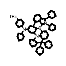 CC(C)(C)c1ccc(N(c2ccccc2)c2cc3c4c(c2)N2c5ccccc5C(c5ccccc5)(c5ccccc5)c5cccc(c52)B4c2c4c-3cccc4c(-c3ccccc3)n2-c2ccccc2)cc1